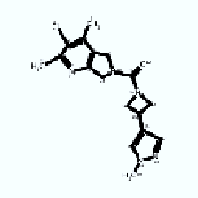 Cc1nc2c(c(C)c1Cl)CN(C(=O)N1CC(c3cnn(C)c3)C1)C2